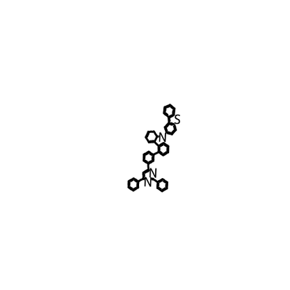 C1=CCC2C(=C1)c1c(-c3cccc(-c4cc(-c5ccccc5)nc(-c5ccccc5)n4)c3)cccc1N2c1ccc2sc3ccccc3c2c1